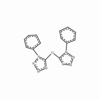 c1ccc(-n2nnnc2Oc2nnnn2-c2ccccc2)cc1